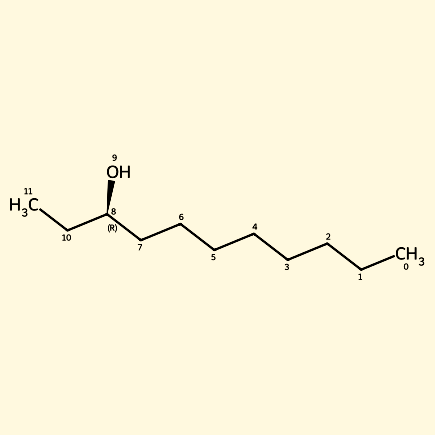 CCCCCCCC[C@H](O)CC